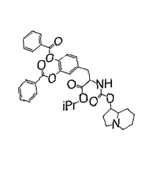 CC(C)OC(=O)C(Cc1ccc(OC(=O)c2ccccc2)c(OC(=O)c2ccccc2)c1)NC(=O)OC1CCN2CCCCC12